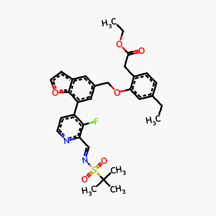 CCOC(=O)Cc1ccc(CC)cc1OCc1cc(-c2ccnc(C=NS(=O)(=O)C(C)(C)C)c2F)c2occc2c1